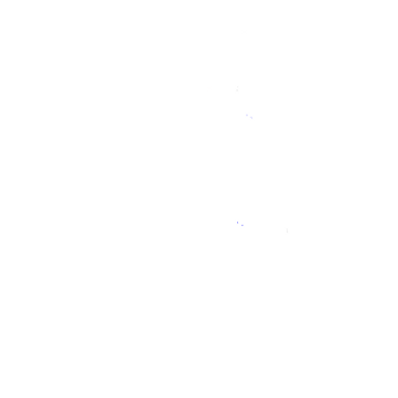 CN(CCCNC(=O)CCl)c1ccccc1